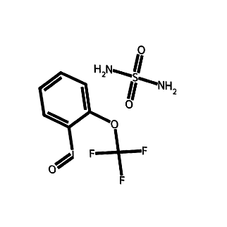 NS(N)(=O)=O.O=Ic1ccccc1OC(F)(F)F